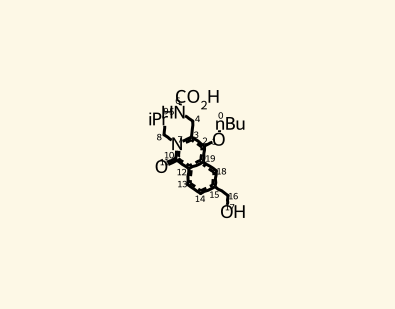 CCCCOc1c(CNC(=O)O)n(CC(C)C)c(=O)c2ccc(CO)cc12